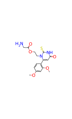 COc1ccc(-c2cc(=O)[nH]c(=S)n2CCOC(=O)CN)c(OC)c1